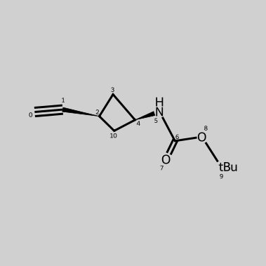 C#C[C@H]1C[C@@H](NC(=O)OC(C)(C)C)C1